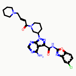 Nc1ncnc2c1c(C(=O)Nc1nc3cc(Cl)ccc3o1)nn2C1CCCN(C(=O)/C=C/CN2CCCCC2)C1